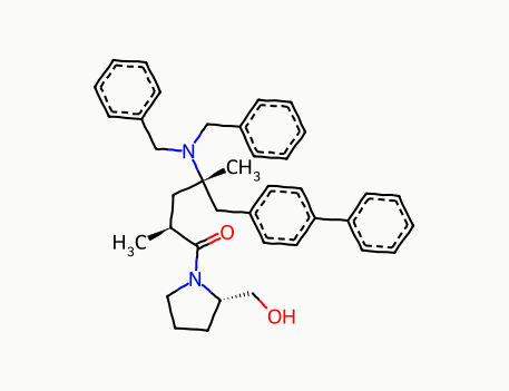 C[C@@H](C[C@@](C)(Cc1ccc(-c2ccccc2)cc1)N(Cc1ccccc1)Cc1ccccc1)C(=O)N1CCC[C@H]1CO